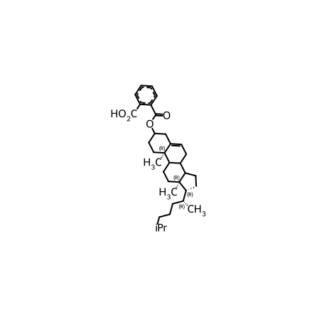 CC(C)CCC[C@@H](C)[C@H]1CCC2C3CC=C4CC(OC(=O)c5ccccc5C(=O)O)CC[C@]4(C)C3CC[C@@]21C